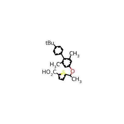 Cc1cc(OC(C)c2ccc(C(=O)O)s2)cc(C)c1-c1ccc(C(C)(C)C)cc1